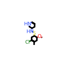 COC1CC(C)=C(Cl)CC1SNC1CC=CNC1